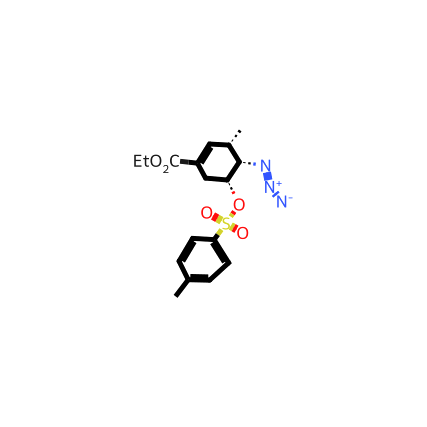 CCOC(=O)C1=C[C@H](C)[C@H](N=[N+]=[N-])[C@H](OS(=O)(=O)c2ccc(C)cc2)C1